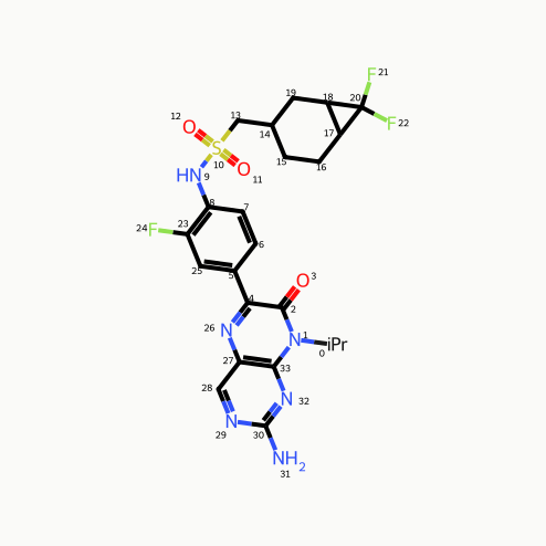 CC(C)n1c(=O)c(-c2ccc(NS(=O)(=O)CC3CCC4C(C3)C4(F)F)c(F)c2)nc2cnc(N)nc21